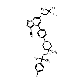 CC(C)(O)COc1cc(-c2ccc(N3CCC(C)(NCC(C)(C)c4ccc(Cl)cc4)CC3)nc2)c2c(C#N)cnn2c1